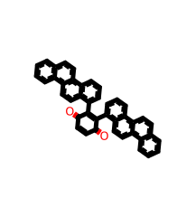 O=C1C=CC(=O)C(c2cccc3c2ccc2c4ccccc4ccc32)=C1c1cccc2c1ccc1c3ccccc3ccc21